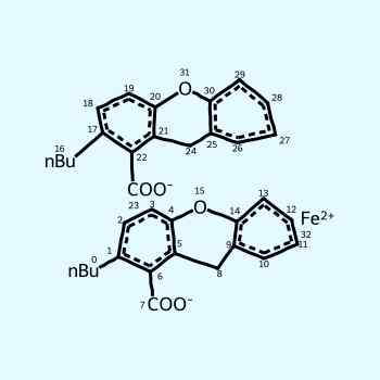 CCCCc1ccc2c(c1C(=O)[O-])Cc1ccccc1O2.CCCCc1ccc2c(c1C(=O)[O-])Cc1ccccc1O2.[Fe+2]